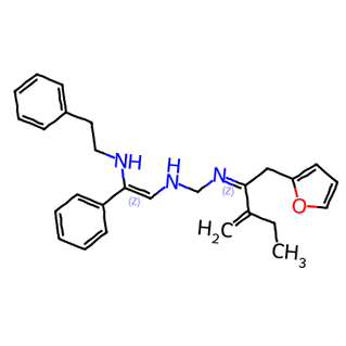 C=C(CC)/C(Cc1ccco1)=N\CN/C=C(\NCCc1ccccc1)c1ccccc1